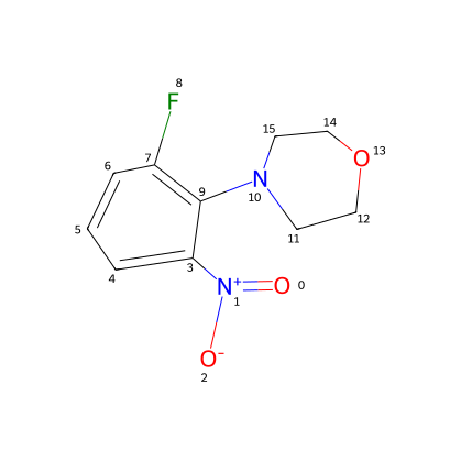 O=[N+]([O-])c1cccc(F)c1N1CCOCC1